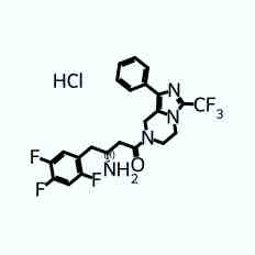 Cl.N[C@@H](CC(=O)N1CCn2c(C(F)(F)F)nc(-c3ccccc3)c2C1)Cc1cc(F)c(F)cc1F